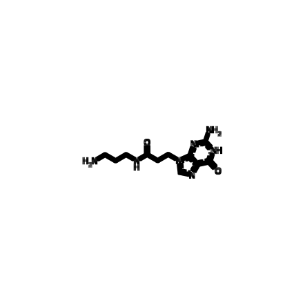 NCCCNC(=O)CCn1cnc2c(=O)[nH]c(N)nc21